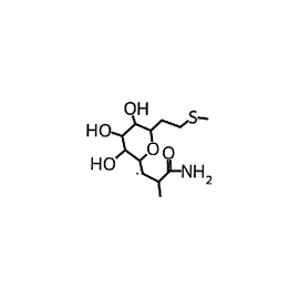 CSCCC1OC([CH]C(C)C(N)=O)C(O)C(O)C1O